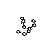 c1ccc(-c2cccc(-c3ccc4nc(-c5cccc(-c6ccccc6)c5)cc(-c5cccc(-c6ccc7ccccc7n6)c5)c4c3)c2)cc1